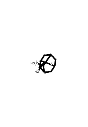 O=C(O)C1C2CC3CC(O)C(C2)CC1C3